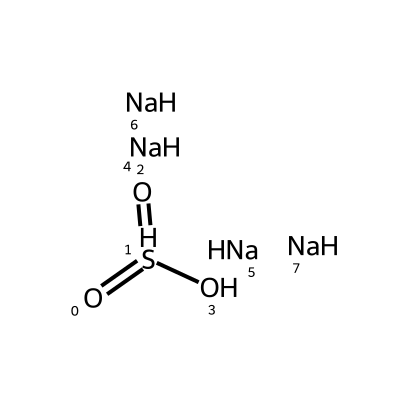 O=[SH](=O)O.[NaH].[NaH].[NaH].[NaH]